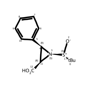 CC(C)(C)[S@@+]([O-])[N@]1[C@H](c2ccccc2)[C@@H]1C(=O)O